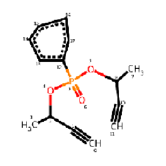 C#CC(C)OP(=O)(OC(C)C#C)c1ccccc1